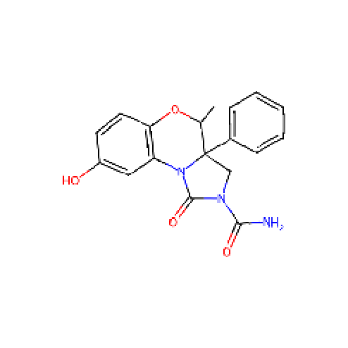 CC1Oc2ccc(O)cc2N2C(=O)N(C(N)=O)CC12c1ccccc1